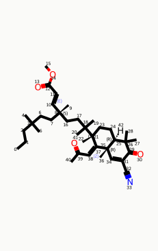 CCCC(C)(C)CC[C@](C)(/C=C/C(=O)OC)CCC(C)(C)[C@]1(C)CC[C@H]2C(C)(C)C(=O)C(C#N)=C[C@]2(C)/C1=C/C(C)=O